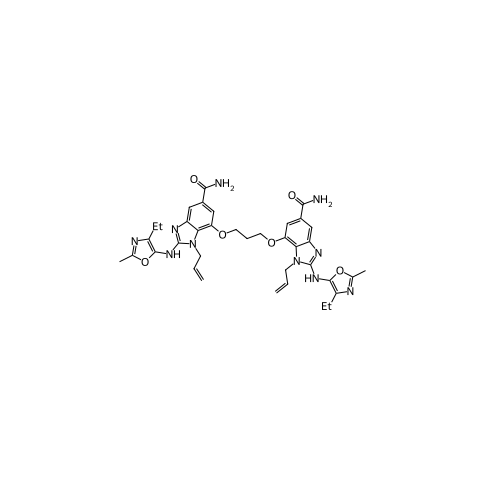 C=CCn1c(Nc2oc(C)nc2CC)nc2cc(C(N)=O)cc(OCCCOc3cc(C(N)=O)cc4nc(Nc5oc(C)nc5CC)n(CC=C)c34)c21